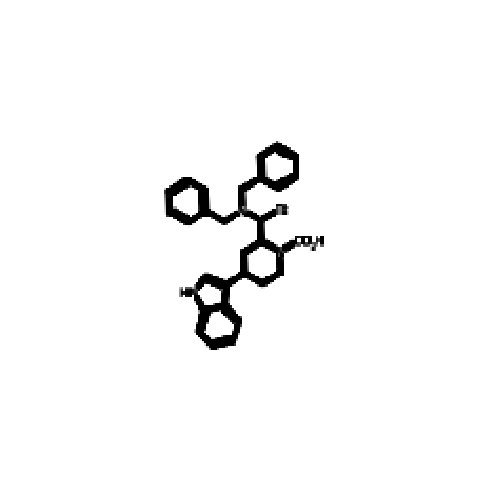 CCC(C1CC(c2c[nH]c3ccccc23)CCN1C(=O)O)N(Cc1ccccc1)Cc1ccccc1